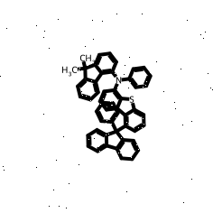 CC1(C)c2ccccc2-c2c(N(c3ccccc3)c3cccc4c3sc3cccc(C5(c6ccccc6)C6=C(CCC=C6)c6ccccc65)c34)cccc21